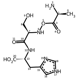 C[C@H](N)C(=O)ON[C@H](CO)C(=O)N[C@H](Cc1c[nH]cn1)C(=O)O